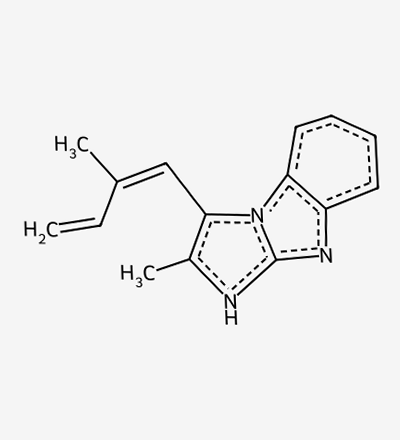 C=C/C(C)=C\c1c(C)[nH]c2nc3ccccc3n12